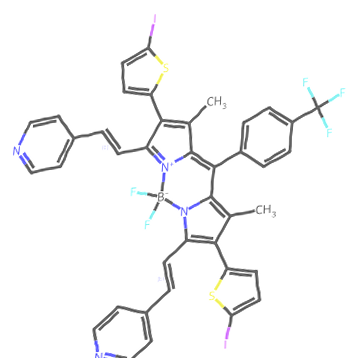 CC1=C(c2ccc(I)s2)C(/C=C/c2ccncc2)=[N+]2C1=C(c1ccc(C(F)(F)F)cc1)c1c(C)c(-c3ccc(I)s3)c(/C=C/c3ccncc3)n1[B-]2(F)F